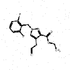 CCOC(=O)c1nn(Cc2c(F)cccc2F)cc1CC=O